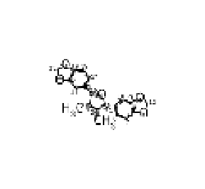 C[C@H]1[C@H](C)[C@@H](c2ccc3c(c2)OCO3)O[C@@H]1c1ccc2c(c1)OCO2